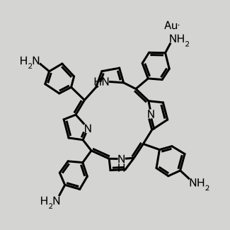 Nc1ccc(-c2c3nc(c(-c4ccc(N)cc4)c4ccc([nH]4)c(-c4ccc(N)cc4)c4nc(c(-c5ccc(N)cc5)c5ccc2[nH]5)C=C4)C=C3)cc1.[Au]